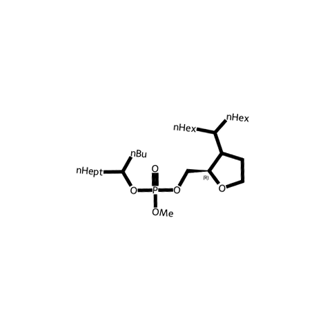 CCCCCCCC(CCCC)OP(=O)(OC)OC[C@@H]1OCCC1C(CCCCCC)CCCCCC